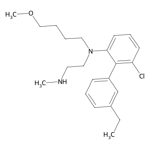 CCc1cccc(-c2c(Cl)cccc2N(CCCCOC)CCNC)c1